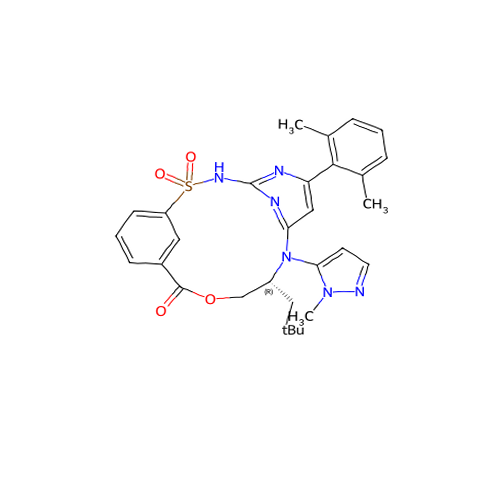 Cc1cccc(C)c1-c1cc2nc(n1)NS(=O)(=O)c1cccc(c1)C(=O)OC[C@@H](CC(C)(C)C)N2c1ccnn1C